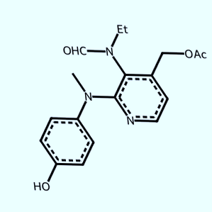 CCN(C=O)c1c(COC(C)=O)ccnc1N(C)c1ccc(O)cc1